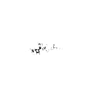 CCc1ccc(C2=CCC(NC(=O)[C@H](COC)NC(=O)c3ccn(C(C)(C)C)c3)=N2)cc1C=O